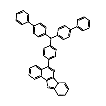 c1ccc(-c2ccc(N(c3ccc(-c4ccccc4)cc3)c3ccc(-c4nc5c(nc6ccccn65)c5ccccc45)cc3)cc2)cc1